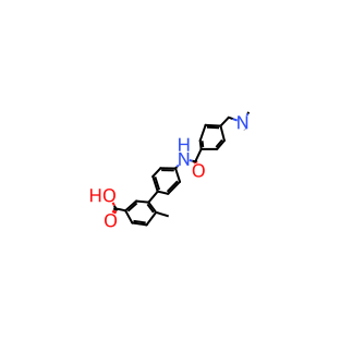 Cc1ccc(C(=O)O)cc1-c1ccc(NC(=O)c2ccc(CN(C)C)cc2)cc1